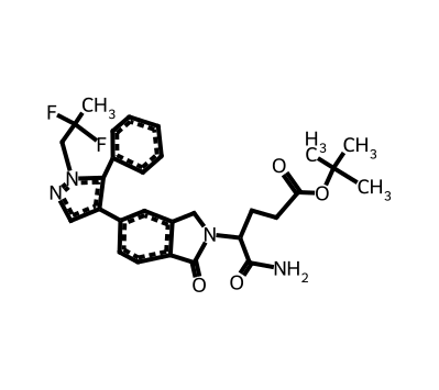 CC(F)(F)Cn1ncc(-c2ccc3c(c2)CN(C(CCC(=O)OC(C)(C)C)C(N)=O)C3=O)c1-c1ccccc1